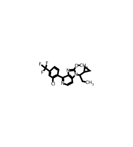 CCC(C1CC1)n1c(OC)nc2c(-c3ccc(C(F)(F)F)cc3Cl)nccc21